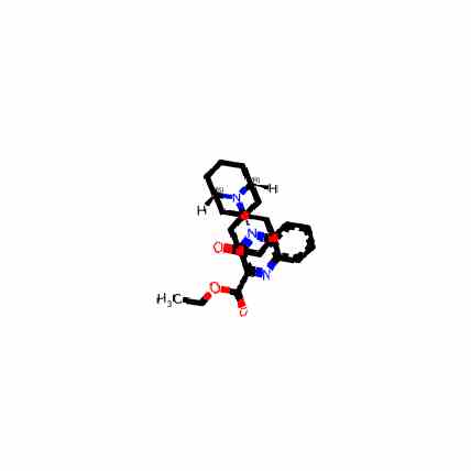 CCOC(=O)c1nc2ccccc2n([C@H]2C[C@H]3CCC[C@@H](C2)N3C2CCCCC2)c1=O